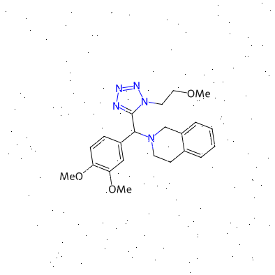 COCCn1nnnc1C(c1ccc(OC)c(OC)c1)N1CCc2ccccc2C1